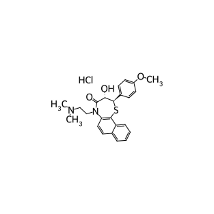 COc1ccc([C@H]2Sc3c(ccc4ccccc34)N(CCN(C)C)C(=O)[C@@H]2O)cc1.Cl